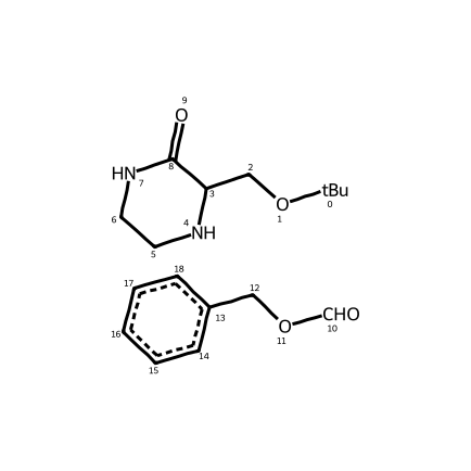 CC(C)(C)OCC1NCCNC1=O.O=COCc1ccccc1